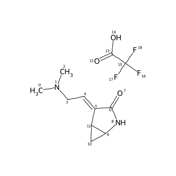 CN(C)C/C=C1/C(=O)NC2CC12.O=C(O)C(F)(F)F